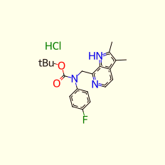 Cc1[nH]c2c(CN(C(=O)OC(C)(C)C)c3ccc(F)cc3)nccc2c1C.Cl